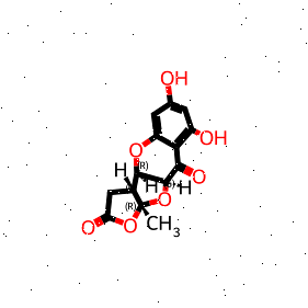 C[C@@]12OC(=O)C[C@@H]1[C@H]1Oc3cc(O)cc(O)c3C(=O)[C@H]1O2